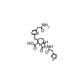 NC(=O)Cc1csc(SC2=C(C(=O)O)N3C(=O)[C@@H](NC(=O)Cc4ccsc4)[C@H]3SC2)n1